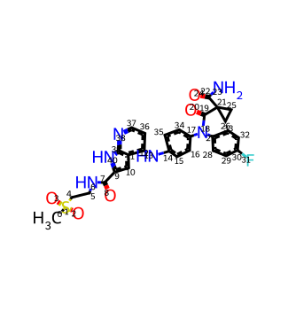 CS(=O)(=O)CCNC(=O)c1cc2c(Nc3ccc(N(C(=O)C4(C(N)=O)CC4)c4ccc(F)cc4)cc3)ccnc2[nH]1